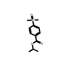 CC(C)OC(=O)c1ccc([S+](C)(C)=O)cc1